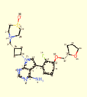 Nc1ncnc2c1c(-c1cccc(OC[C@@H]3CCCO3)c1F)cn2[C@H]1C[C@@H](CN2CC[S+]([O-])CC2)C1